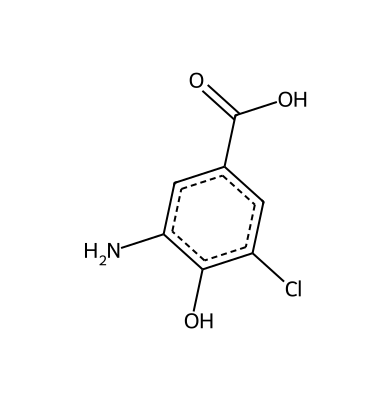 Nc1cc(C(=O)O)cc(Cl)c1O